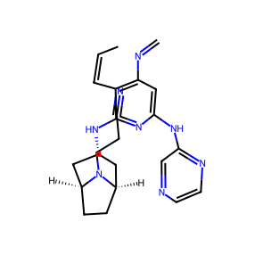 C=Nc1cc(Nc2cnccn2)nc(N[C@@H]2C[C@H]3CC[C@@H](C2)N3CCC#N)c1/C=C\C